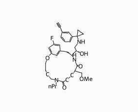 C#Cc1cccc(C2(NC[C@@H](O)[C@@H]3Cc4cc(F)cc(c4)OCCCCN(CCC)C(=O)CCC(COC)C(=O)N3)CC2)c1